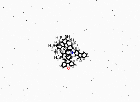 BC(=C)/C(B)=C(/B)C(B)C1(C/C(B)=C(B)\C(B)=C(\B)C#C)c2cc(N(c3cccc(-c4cccc5oc6ccccc6c45)c3)c3ccc4c(c3)C(C)(C)c3ccccc3-4)c(B)c(B)c2-c2c(B)c(B)c(B)c(B)c21